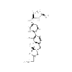 CC(=O)NCC1CC(Cc2ccc(-c3ccc(NC(=N)NC(=N)N)cn3)c(F)c2)C(=O)O1